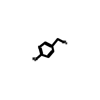 BCc1ccc(B)nc1